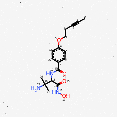 CC#CCCOc1ccc(C(=O)NC(C(=O)NO)C(C)(C)N)cc1